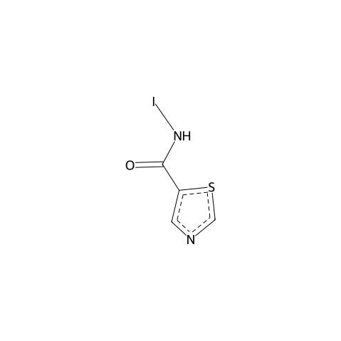 O=C(NI)c1cncs1